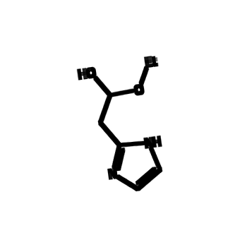 CCOC(O)Cc1ncc[nH]1